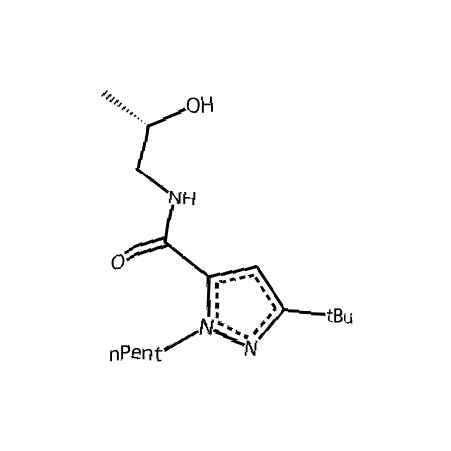 CCCCCn1nc(C(C)(C)C)cc1C(=O)NC[C@H](C)O